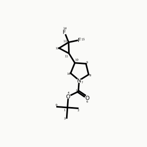 CC(C)(C)OC(=O)N1CCC(C2CC2(F)F)C1